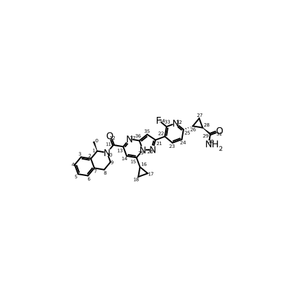 C[C@@H]1c2ccccc2CCN1C(=O)c1cc(C2CC2)n2nc(-c3ccc([C@@H]4C[C@H]4C(N)=O)nc3F)cc2n1